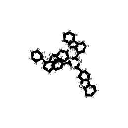 c1ccc(-c2nc(-c3ccc4c(c3)oc3ccccc34)nc(-c3cccc4c5ccccc5n(-c5ccc6c(c5)oc5c(-c7ccccc7)cccc56)c34)n2)cc1